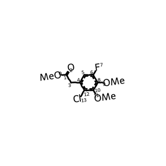 COC(=O)Cc1cc(F)c(OC)c(OC)c1Cl